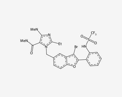 CCc1nc(NC)c(C(=O)NC)n1Cc1ccc2oc(-c3ccccc3NS(=O)(=O)C(F)(F)F)c(Br)c2c1